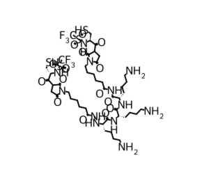 NCCCC[C@H](NNC(=O)CCCCCN1C(=O)CC(C(=O)[C@H](CS)NS(=O)(=O)C(F)(F)F)C1=O)C(=O)N[C@@H](CCCCN)C(=O)N[C@@H](CCCCN)C(=O)NC(=O)CCCCCN1C(=O)CC(C(=O)[C@H](CS)NS(=O)(=O)C(F)(F)F)C1=O